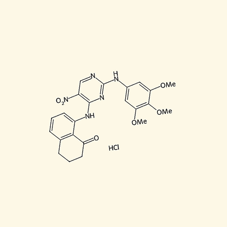 COc1cc(Nc2ncc([N+](=O)[O-])c(Nc3cccc4c3C(=O)CCC4)n2)cc(OC)c1OC.Cl